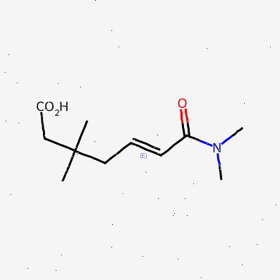 CN(C)C(=O)/C=C/CC(C)(C)CC(=O)O